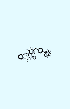 Cc1nc(Cc2ccc(B3OC(C)(C)C(C)(C)O3)cc2)nc(C(N)=O)c1OCc1ccccc1